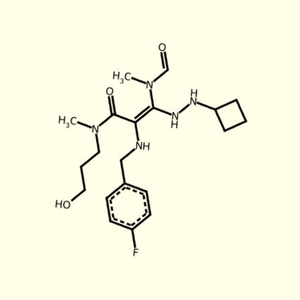 CN(CCCO)C(=O)/C(NCc1ccc(F)cc1)=C(/NNC1CCC1)N(C)C=O